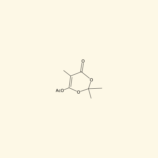 CC(=O)OC1=C(C)C(=O)OC(C)(C)O1